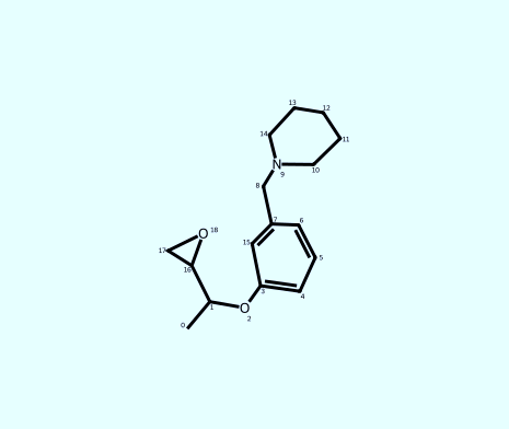 CC(Oc1cccc(CN2CCCCC2)c1)C1CO1